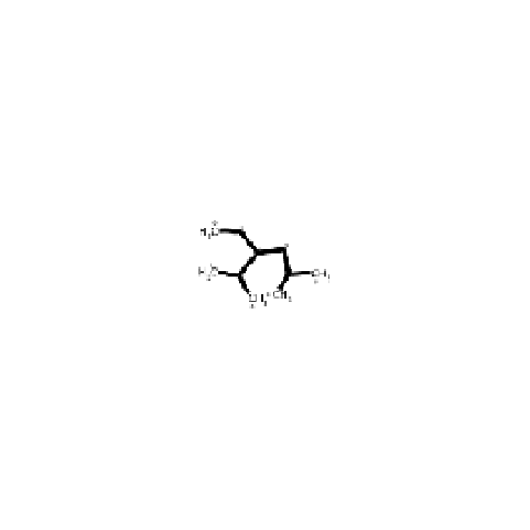 CC[C](CC(C)C)C(C)C